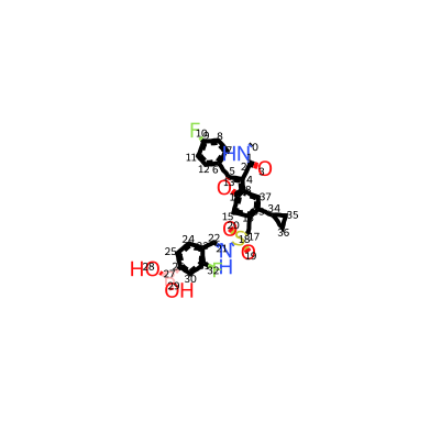 CNC(=O)c1c(-c2ccc(F)cc2)oc2cc(CS(=O)(=O)NCc3ccc(B(O)O)cc3F)c(C3CC3)cc12